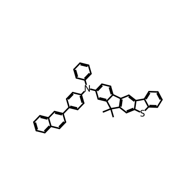 CC1(C)c2cc(N(c3ccccc3)c3ccc(-c4ccc5ccccc5c4)cc3)ccc2-c2cc3c(cc21)sc1ccccc13